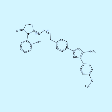 CC(=O)Nc1cc(-c2ccc(C/C=N\N=C3/SCC(=O)N3c3ccccc3C(C)C)cc2)nn1-c1ccc(OC(F)(F)F)cc1